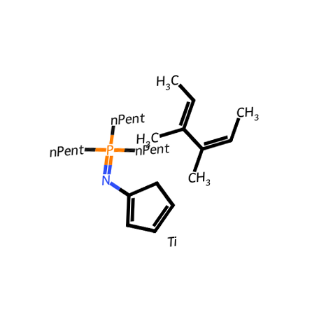 CC=C(C)C(C)=CC.CCCCCP(CCCCC)(CCCCC)=NC1=CC=CC1.[Ti]